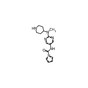 CN(c1ncc(NC(=O)n2cccc2)cn1)C1CCNCC1